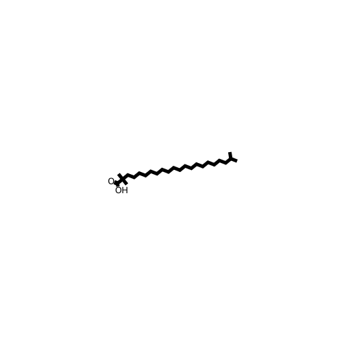 CC(C)CCCCCCCCCCCCCCCCCCC(C)(C)C(=O)O